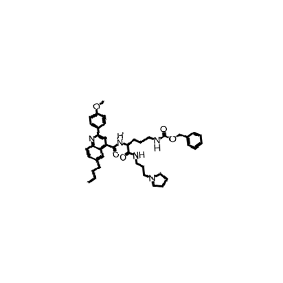 CCCCc1ccc2nc(-c3ccc(OC)cc3)cc(C(=O)NC(CCCNC(=O)OCc3ccccc3)C(=O)NCCCN3CCCC3)c2c1